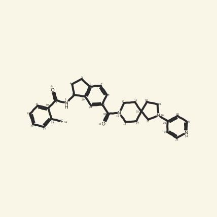 O=C(NC1CCc2ccc(C(=O)N3CCC4(CC3)CCN(c3ccncc3)C4)cc21)c1ccccc1F